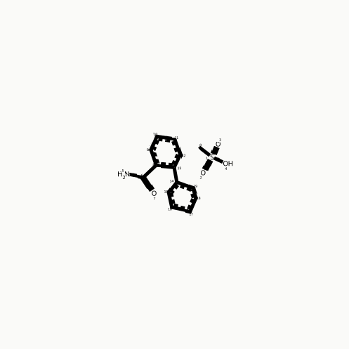 CS(=O)(=O)O.NC(=O)c1ccccc1-c1ccccc1